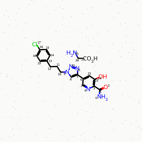 NC(=O)c1ncc(-c2cn(CCCc3ccc(Cl)cc3)nn2)cc1O.NCC(=O)O